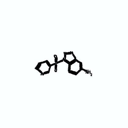 Nc1ccc2c(c1)nnn2S(=O)(=O)c1cccnc1